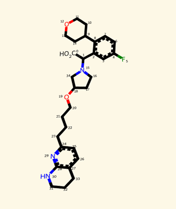 O=C(O)C(c1cc(F)ccc1C1CCOCC1)N1CCC(OCCCCc2ccc3c(n2)NCCC3)C1